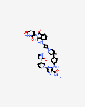 CN1CCN([C@@H]2CCCN(c3cnc(C(N)=O)c(Nc4ccc(C5(C)CCN(C6CC(Nc7cccc8c7C(=O)N(C7CCC(=O)NC7=O)C8=O)C6)CC5)cc4)n3)C2)C1=O